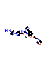 COc1c(OCCCN2CCOCC2)ccc2c1N=C(NC(=O)c1ccc(N3CC[C@@H](N)C3)nc1)N1CCN=C21